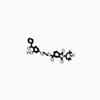 CC1(C)CC(N2C(=O)c3ccc(C(=O)OCCOc4ccc(C(=O)c5ccccc5)c(O)c4)cc3C2=O)CC(C)(C)N1